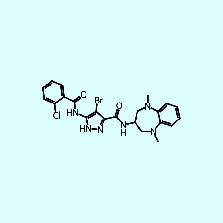 CN1CC(NC(=O)c2n[nH]c(NC(=O)c3ccccc3Cl)c2Br)CN(C)c2ccccc21